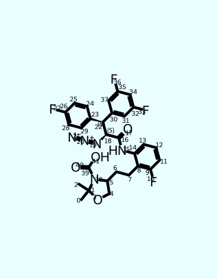 CC1(C)OCC(CCc2c(F)cccc2NC(=O)[C@@H](N=[N+]=[N-])[C@@H](c2ccc(F)cc2)c2cc(F)cc(F)c2)N1C(=O)O